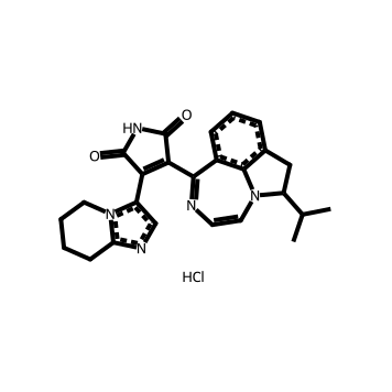 CC(C)C1Cc2cccc3c2N1C=CN=C3C1=C(c2cnc3n2CCCC3)C(=O)NC1=O.Cl